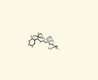 CO[Si](C)(CCCN(C1CCCCC1)C(C)(C)C)OC[SiH](C)C